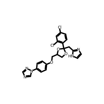 Clc1ccc(C2(Cc3ncc[nH]3)OCC(COc3ccc(-n4cncn4)cc3)O2)c(Cl)c1